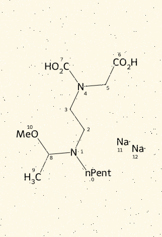 CCCCCN(CCN(CC(=O)O)C(=O)O)C(C)OC.[Na].[Na]